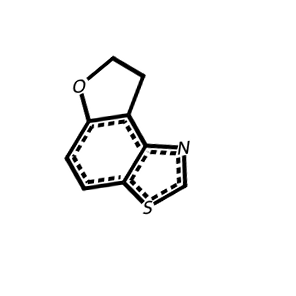 c1nc2c3c(ccc2s1)OCC3